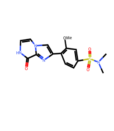 COc1cc(S(=O)(=O)N(C)C)ccc1-c1cn2cc[nH]c(=O)c2n1